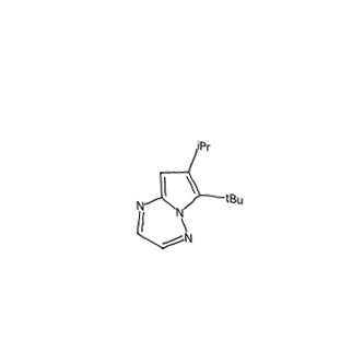 CC(C)c1cc2nccnn2c1C(C)(C)C